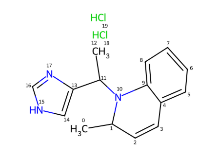 CC1C=Cc2ccccc2N1C(C)c1c[nH]cn1.Cl.Cl